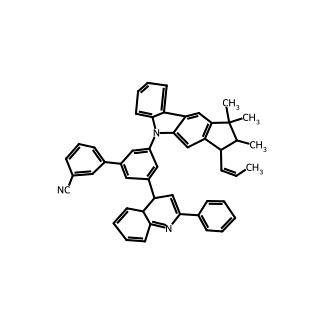 C/C=C\C1c2cc3c(cc2C(C)(C)C1C)c1ccccc1n3-c1cc(-c2cccc(C#N)c2)cc(C2C=C(c3ccccc3)N=C3C=CC=CC32)c1